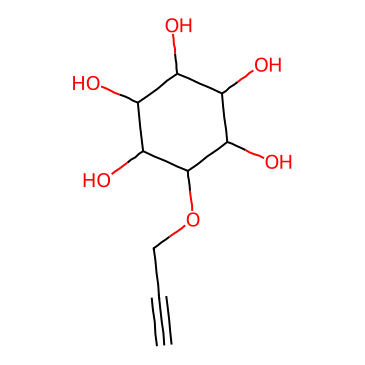 C#CCOC1C(O)C(O)C(O)C(O)C1O